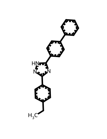 CCc1ccc(-c2n[nH]c(-c3ccc(-c4ccccc4)cc3)n2)cc1